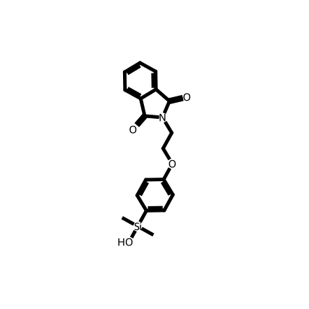 C[Si](C)(O)c1ccc(OCCN2C(=O)c3ccccc3C2=O)cc1